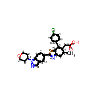 Cc1cc2nc(-c3ccc4c(cnn4C4CCOCC4)c3)sc2c(-c2ccc(Cl)cc2)c1CC(=O)O